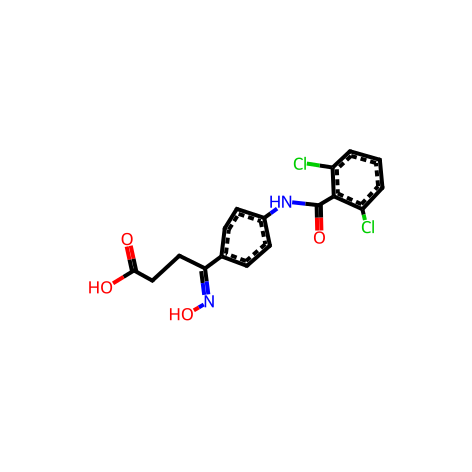 O=C(O)CCC(=NO)c1ccc(NC(=O)c2c(Cl)cccc2Cl)cc1